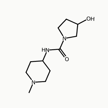 CN1CCC(NC(=O)N2CCC(O)C2)CC1